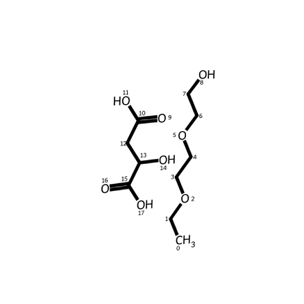 CCOCCOCCO.O=C(O)CC(O)C(=O)O